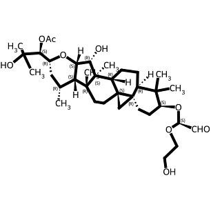 CC(=O)O[C@@H]([C@H]1C[C@@H](C)[C@@H]2[C@H](O1)[C@H](O)[C@@]1(C)[C@@H]3CC[C@H]4C(C)(C)[C@@H](O[C@@H](C=O)OCCO)CC[C@@]45C[C@@]35CC[C@]21C)C(C)(C)O